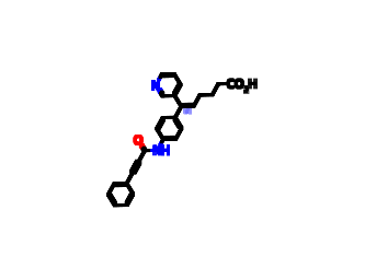 O=C(O)CCC/C=C(/c1ccc(NC(=O)C#Cc2ccccc2)cc1)c1cccnc1